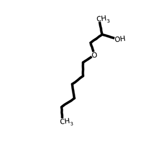 CCCCCCOCC(C)O